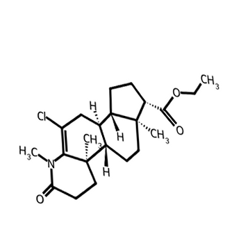 CCOC(=O)[C@H]1CC[C@H]2[C@@H]3CC(Cl)=C4N(C)C(=O)CC[C@]4(C)[C@H]3CC[C@]12C